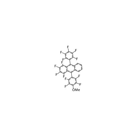 COc1c(F)c(F)c(-c2c3ccccc3c(-c3c(F)c(F)c(F)c(F)c3F)c3c(F)c(F)c(F)c(F)c23)c(F)c1F